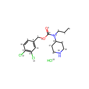 CCCN(C(=O)OCc1ccc(Cl)c(Cl)c1)C1CCNCC1.Cl